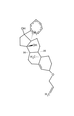 C=CCOC1C=C2CC[C@@H]3[C@@H](CC[C@]4(C)C(O)(c5ccccc5)CC[C@@]34O)[C@@]2(C)CC1